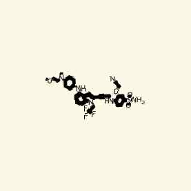 COCCN(C)[C@H]1CC[C@@H](Nc2cccc3c2cc(C#CCNc2ccc(S(N)(=O)=O)cc2OCC#N)n3CC(F)(F)F)CC1